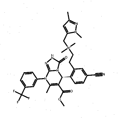 COC(=O)C1=C(C)N(c2cccc(C(F)(F)F)c2)c2n[nH]c(=O)n2[C@@H]1c1ccc(C#N)cc1CC[N+](C)(C)Cc1cc(C)nn1C